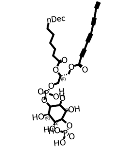 C#CC#CC#CC#CC(=O)OC[C@H](COP(=O)(O)OC1C(O)[C@@H](O)C(OP(=O)(O)O)[C@@H](O)[C@H]1O)OC(=O)CCCCCCCCCCCCCCC